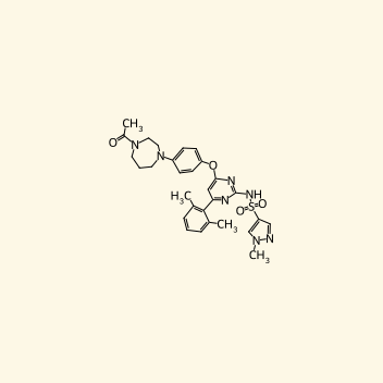 CC(=O)N1CCCN(c2ccc(Oc3cc(-c4c(C)cccc4C)nc(NS(=O)(=O)c4cnn(C)c4)n3)cc2)CC1